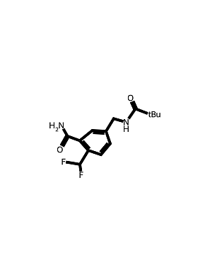 CC(C)(C)C(=O)NCc1ccc(C(F)F)c(C(N)=O)c1